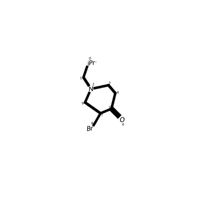 C[C](C)CN1CCC(=O)C(Br)C1